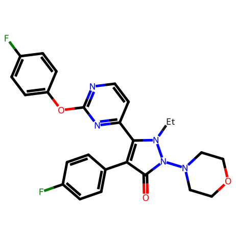 CCn1c(-c2ccnc(Oc3ccc(F)cc3)n2)c(-c2ccc(F)cc2)c(=O)n1N1CCOCC1